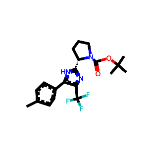 Cc1ccc(-c2[nH]c([C@@H]3CCCN3C(=O)OC(C)(C)C)nc2C(F)(F)F)cc1